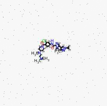 CN(C)CCN(C)C1CCN(C(=O)c2ccc(NC(=O)c3ncc(-c4cn(C5CC5)nc4C(F)(F)F)n3C)cc2Cl)CC1